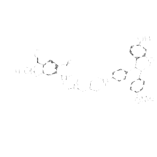 COc1ccc(C2COc3cc(O)ccc3C2c2ccc(N3CCC(CN4CCN(c5cc6c(cc5F)C(=O)N(C)C6)CC4)CC3)cc2)cc1